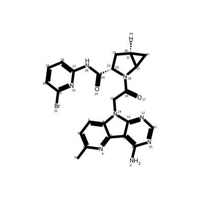 Cc1ccc2c(n1)c1c(N)ncnc1n2CC(=O)N1C2C[C@@H]2C[C@H]1C(=O)Nc1cccc(Br)n1